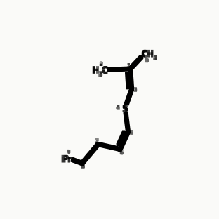 CC(C)=CS/C=C\CCC(C)C